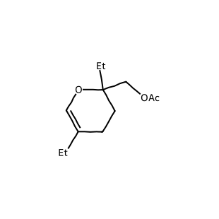 CCC1=COC(CC)(COC(C)=O)CC1